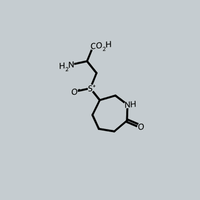 NC(C[S+]([O-])C1CCCC(=O)NC1)C(=O)O